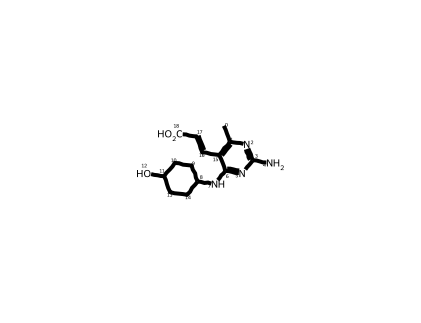 Cc1nc(N)nc(NC2CCC(O)CC2)c1C=CC(=O)O